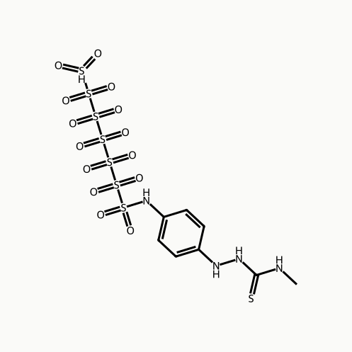 CNC(=S)NNc1ccc(NS(=O)(=O)S(=O)(=O)S(=O)(=O)S(=O)(=O)S(=O)(=O)S(=O)(=O)[SH](=O)=O)cc1